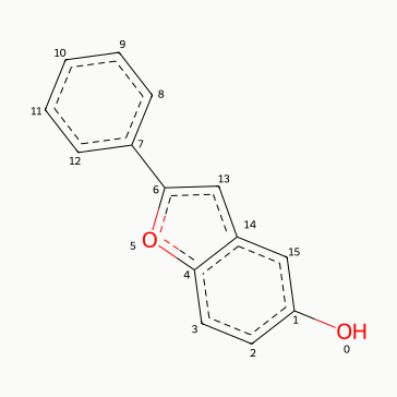 Oc1ccc2oc(-c3ccccc3)cc2c1